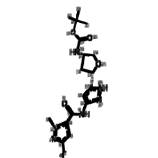 Cn1nc(F)cc1C(=O)Nc1cc([C@@H]2C[C@H](NC(=O)OC(C)(C)C)CO2)[nH]n1